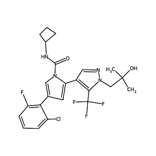 CC(C)(O)Cn1ncc(-c2cc(-c3c(F)cccc3Cl)cn2C(=O)NC2CCC2)c1C(F)(F)F